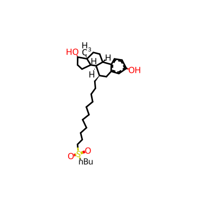 CCCCS(=O)(=O)CCCCCCCCCCC[C@@H]1Cc2cc(O)ccc2[C@H]2CC[C@]3(C)[C@@H](O)CC[C@H]3[C@H]12